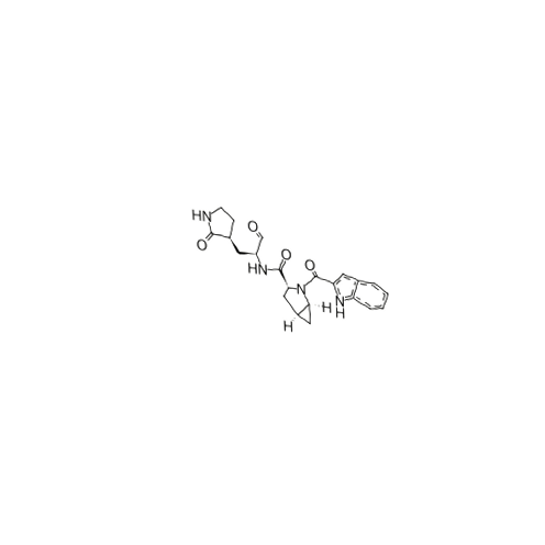 O=C[C@H](C[C@@H]1CCNC1=O)NC(=O)[C@@H]1C[C@@H]2C[C@@H]2N1C(=O)c1cc2ccccc2[nH]1